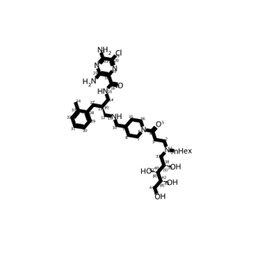 CCCCCCN(CCC(=O)N1CCC(CNC[C@H](CNC(=O)c2nc(Cl)c(N)nc2N)Cc2ccccc2C)CC1)C[C@H](O)[C@@H](O)[C@H](O)CO